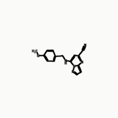 COc1ccc(CNc2cc(C#N)nc3ccnn23)cc1